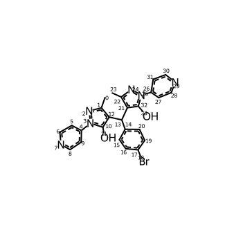 Cc1nn(-c2ccncc2)c(O)c1C(c1ccc(Br)cc1)c1c(C)nn(-c2ccncc2)c1O